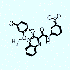 COc1cc(Cl)ccc1Oc1nc2ccccc2nc1C(=O)NC1=CC=CC(=S(=O)=O)C1